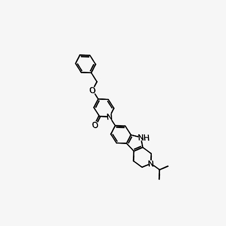 CC(C)N1CCc2c([nH]c3cc(-n4ccc(OCc5ccccc5)cc4=O)ccc23)C1